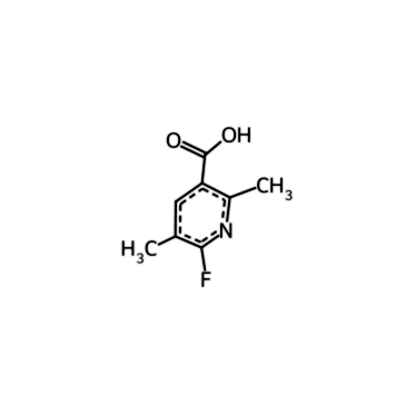 Cc1cc(C(=O)O)c(C)nc1F